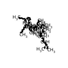 CCCCCCCCC(NC(=O)[C@@H]1CCCN1C(=O)CCCCC)C(=O)NC(CC(C)C)C(=O)NC(C)(C)C(=O)NC(CC(C)C)C(=O)NC(CC(C)C)C(=O)NC(C)(C)C(=O)NC(C)(C)C(=O)NCCC(=O)NCCN(CCC)CCC